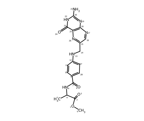 COC(=O)C(C)NC(=O)c1ccc(NCc2cnc3nc(N)[nH]c(=O)c3n2)cc1